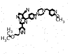 COc1ccc(CN2CCN(c3ccc(-c4nc(-c5cnn(CCOC(C)C)c5)cn5ncc(C#N)c45)cn3)CC2)cn1